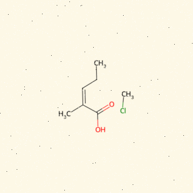 CCC=C(C)C(=O)O.CCl